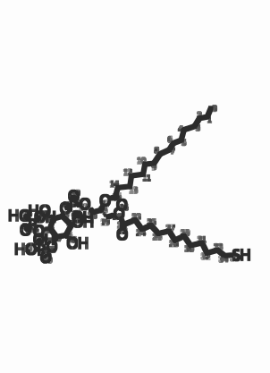 CCCCCCCCCCCCCCCC(=O)O[C@H](COC(=O)CCCCCCCCCCCCS)COP(=O)(O)OC1C(O)[C@@H](O)C(OP(=O)(O)O)[C@@H](OP(=O)(O)O)[C@H]1O